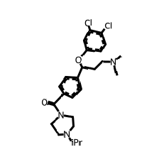 CC(C)N1CCN(C(=O)c2ccc(C(CCN(C)C)Oc3ccc(Cl)c(Cl)c3)cc2)CC1